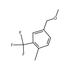 COCc1ccc(C)c(C(F)(F)F)c1